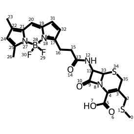 CSCC1=C(C(=O)O)N2C(=O)C(NC(=O)CCC3=[N+]4C(=Cc5c(C)cc(C)n5[B-]4(F)F)C=C3)C2SC1